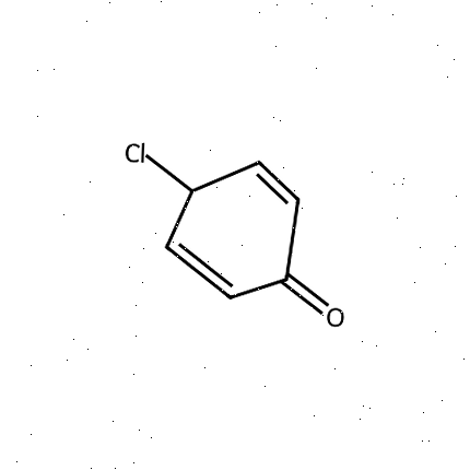 O=C1C=CC(Cl)C=C1